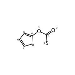 O=C([S])OC1=CC=CC1